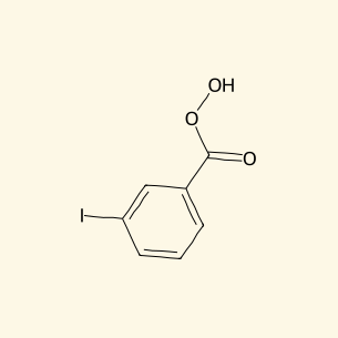 O=C(OO)c1cccc(I)c1